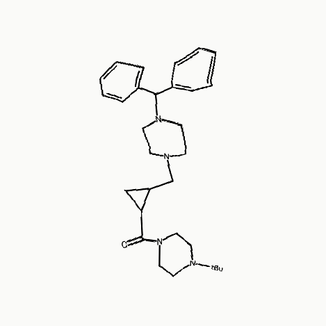 CC(C)(C)N1CCN(C(=O)C2CC2CN2CCN(C(c3ccccc3)c3ccccc3)CC2)CC1